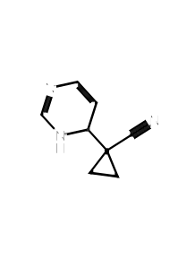 N#CC1(C2C=CN=[C]N2)CC1